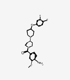 COc1cc(C(=O)N2CCC(N3CCC(Oc4ccc(F)c(F)c4)CC3)CC2)ccc1N